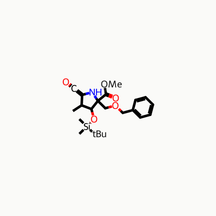 COC(=O)C1(COCc2ccccc2)NC(=C=O)C(C)C1O[Si](C)(C)C(C)(C)C